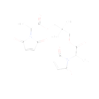 CCCCC(C)(COC(=O)C(C)N1C(=O)C=CC1=O)COC(=O)C(C)N1C(=O)C=CC1=O